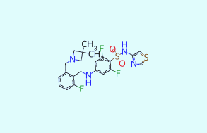 CC1(C)CN(Cc2cccc(F)c2CNc2cc(F)c(S(=O)(=O)Nc3cscn3)c(F)c2)C1